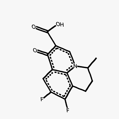 CC1CCc2c(F)c(F)cc3c(=O)c(C(=O)O)cn1c23